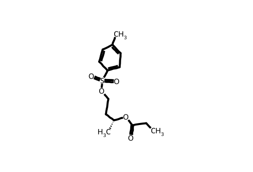 CCC(=O)O[C@H](C)CCOS(=O)(=O)c1ccc(C)cc1